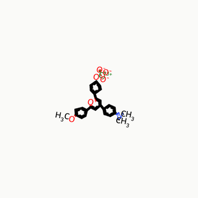 COc1ccc(-c2cc(-c3ccc(N(C)C)cc3)cc(-c3ccccc3)[o+]2)cc1.[O-][Cl+3]([O-])([O-])[O-]